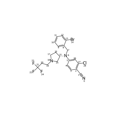 N#Cc1ccc(N(Cc2ccccc2Br)[C@H]2CCN(CCC(F)(F)F)C2)cc1Cl